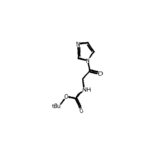 CC(C)(C)OC(=O)NCC(=O)n1ccnc1